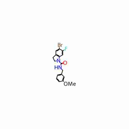 COc1cccc(CNC(=O)N2CCc3cc(Br)c(F)cc32)c1